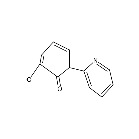 [O]C1=CC=CC(c2ccccn2)C1=O